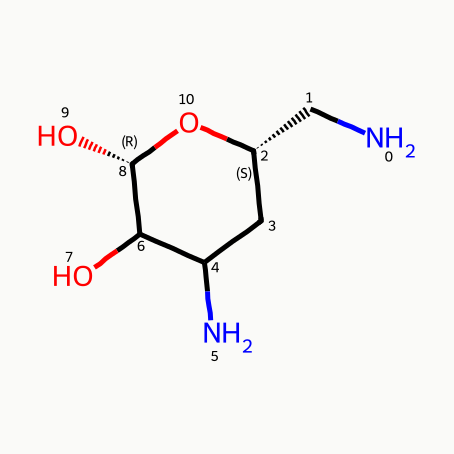 NC[C@@H]1CC(N)C(O)[C@H](O)O1